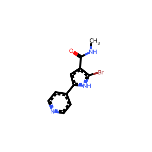 CNC(=O)c1cc(-c2ccncc2)[nH]c1Br